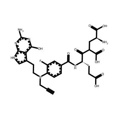 C#CCN(CCc1c[nH]c2nc(N)nc(O)c12)c1ccc(C(=O)N[C@@H](CCC(=O)O)C(=O)C(C[C@H](N)C(=O)O)C(=O)O)cc1F